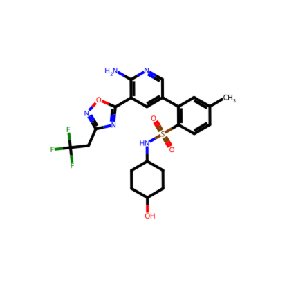 Cc1ccc(S(=O)(=O)NC2CCC(O)CC2)c(-c2cnc(N)c(-c3nc(CC(F)(F)F)no3)c2)c1